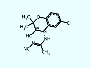 CC(=NC#N)N[C@H]1c2cc(Cl)ccc2OC(C)(C)[C@@H]1O